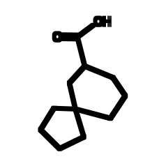 O=C(O)C1CCCC2(CCCC2)C1